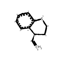 C=C[C@@H]1CCSc2ccccc21